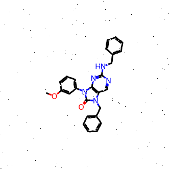 COc1cccc(-n2c(=O)n(Cc3ccccc3)c3cnc(NCc4ccccc4)nc32)c1